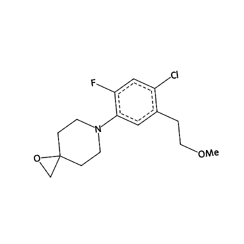 COCCc1cc(N2CCC3(CC2)CO3)c(F)cc1Cl